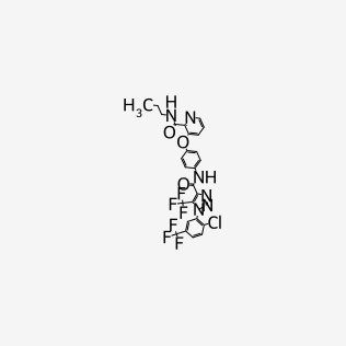 CCCNC(=O)c1ncccc1Oc1ccc(NC(=O)c2nnn(-c3cc(C(F)(F)F)ccc3Cl)c2C(F)(F)F)cc1